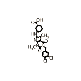 Cn1c(N[C@H]2CCC[C@@H](C(=O)O)C2)nc2c1c(=O)n(Cc1ccc(Cl)c(Cl)c1)c(=O)n2C